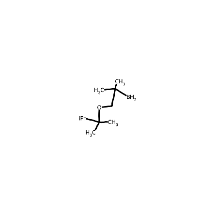 BC(C)(C)COC(C)(C)C(C)C